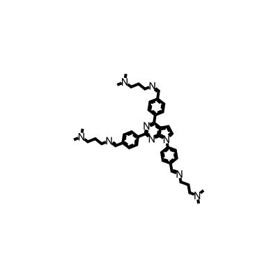 CN(C)CCC/N=C\c1ccc(-c2nc(-c3ccc(/C=N/CCCN(C)C)cc3)nc3c2ccn3-c2ccc(/C=N/CCCN(C)C)cc2)cc1